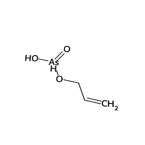 C=CCO[AsH](=O)O